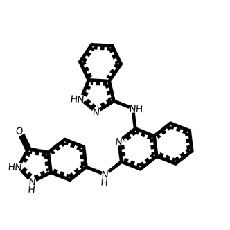 O=c1[nH][nH]c2cc(Nc3cc4ccccc4c(Nc4n[nH]c5ccccc45)n3)ccc12